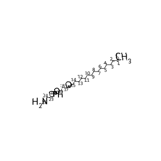 CCCCCCCCCCCCCCCCOCCCOPOCCN